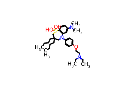 CCCCC1(CCCC)CN(c2ccc(OCCN(CC)CC)cc2)c2cc(N(C)C)ccc2S(O)(O)C1